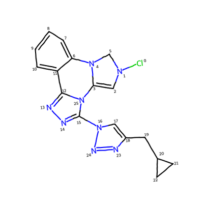 ClN1C=C2N(C1)c1ccccc1-c1nnc(-n3cc(CC4CC4)nn3)n12